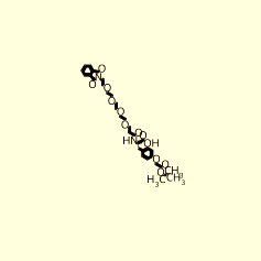 CC(C)(C)OC(=O)COc1ccc(C[C@H](NC(=O)CCOCCOCCOCCOCCN2C(=O)c3ccccc3C2=O)C(=O)O)cc1